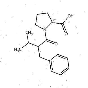 CC(C)C(Cc1ccccc1)C(=O)N1CCC[C@H]1C(=O)O